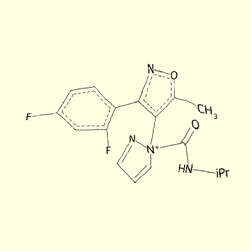 Cc1onc(-c2ccc(F)cc2F)c1[N+]1(C(=O)NC(C)C)C=CC=N1